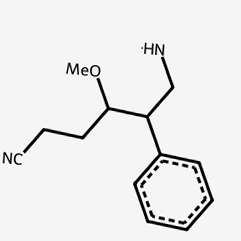 COC(CCC#N)C(C[NH])c1ccccc1